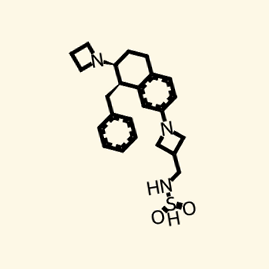 O=[SH](=O)NCC1CN(c2ccc3c(c2)[C@@H](Cc2ccccc2)[C@@H](N2CCC2)CC3)C1